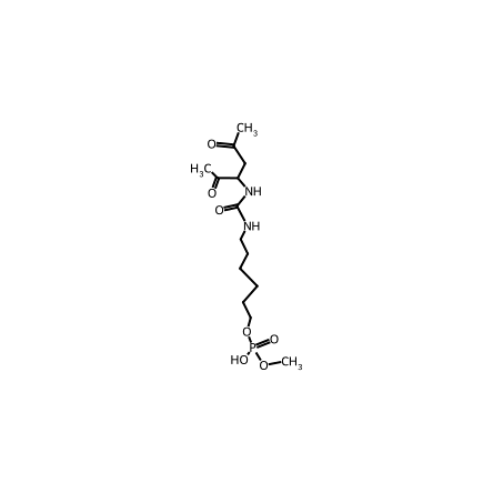 COP(=O)(O)OCCCCCCNC(=O)NC(CC(C)=O)C(C)=O